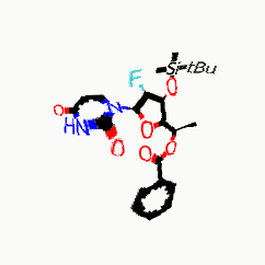 C[C@@H](OC(=O)c1ccccc1)C1O[C@@H](n2ccc(=O)[nH]c2=O)[C@H](F)[C@@H]1O[Si](C)(C)C(C)(C)C